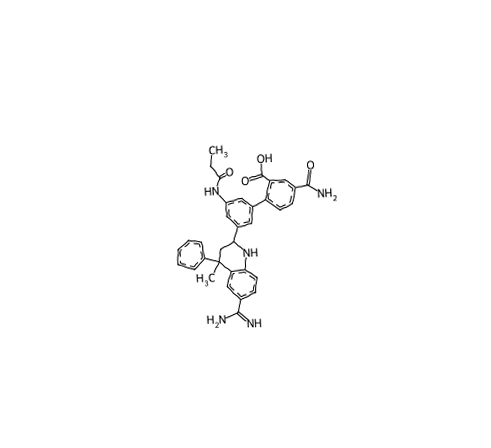 CCC(=O)Nc1cc(-c2ccc(C(N)=O)cc2C(=O)O)cc(C2CC(C)(c3ccccc3)c3cc(C(=N)N)ccc3N2)c1